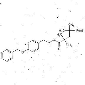 CCCCCC(C)(C)CC(C)(C)C(=O)OCCc1ccc(OCc2ccccc2)cc1